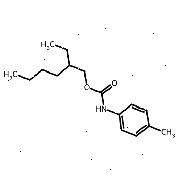 CCCCC(CC)COC(=O)Nc1ccc(C)cc1